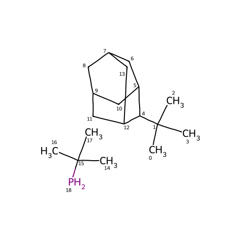 CC(C)(C)C1C2CC3CC(C2)CC1C3.CC(C)(C)P